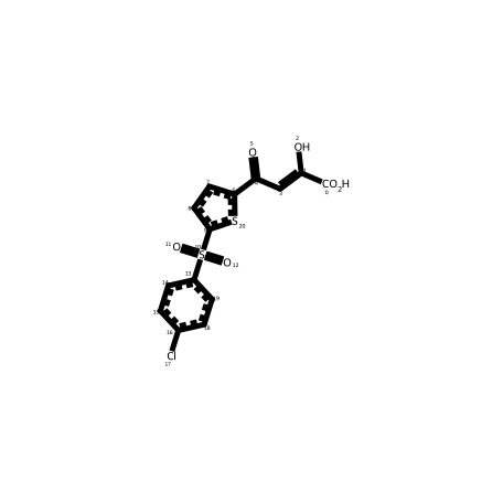 O=C(O)C(O)=CC(=O)c1ccc(S(=O)(=O)c2ccc(Cl)cc2)s1